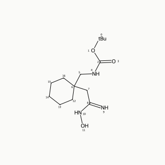 CC(C)(C)OC(=O)NCC1(CC(=N)NO)CCCCC1